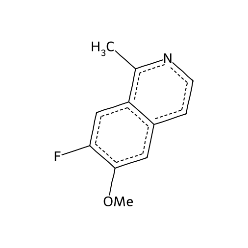 COc1cc2ccnc(C)c2cc1F